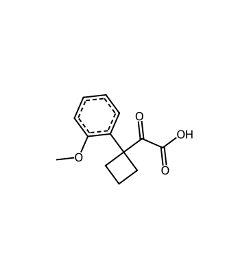 COc1ccccc1C1(C(=O)C(=O)O)CCC1